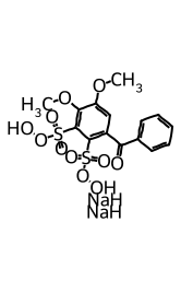 COc1cc(C(=O)c2ccccc2)c(S(=O)(=O)OO)c(S(=O)(=O)OO)c1OC.[NaH].[NaH]